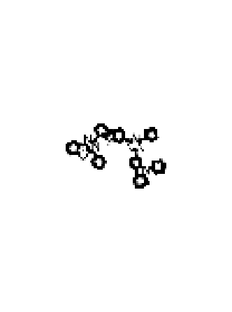 c1ccc(-c2nc(-c3ccc4c(c3)sc3c(-c5nc(-c6ccccc6)c6oc7ccccc7c6n5)cccc34)nc(-c3ccc4c5ccccc5n(-c5ccccc5)c4c3)n2)cc1